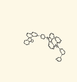 c1ccc(-c2cccc(N(c3ccccc3)c3cccc4c3c3ccccc3n4-c3ccc(-c4ccc5ccc6c7ccccc7oc6c5c4)cc3)c2)cc1